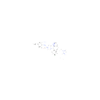 Cc1nccn1CCC1=Cc2cccnc2C(N2CCN(C(=O)Nc3ccc(C#N)cc3)CC2)c2ccc(Cl)cc21